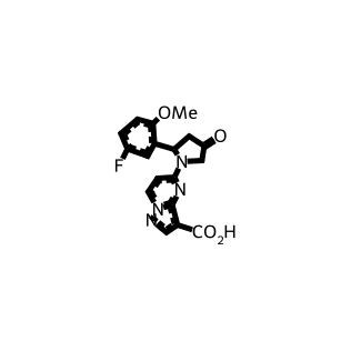 COc1ccc(F)cc1C1CC(=O)CN1c1ccn2ncc(C(=O)O)c2n1